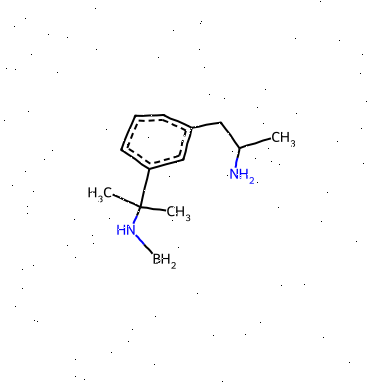 BNC(C)(C)c1cccc(CC(C)N)c1